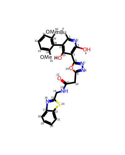 CCCCc1nc(O)c(-c2nnc(CC(=O)NCc3nc4ccccc4s3)o2)c(O)c1-c1c(OC)cccc1OC